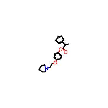 CC(C(=O)Oc1ccc(OCCN2CCCCC2)cc1)c1ccccc1